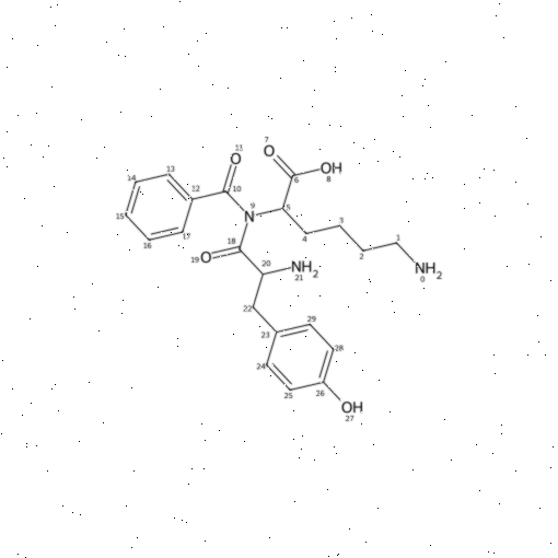 NCCCCC(C(=O)O)N(C(=O)c1ccccc1)C(=O)C(N)Cc1ccc(O)cc1